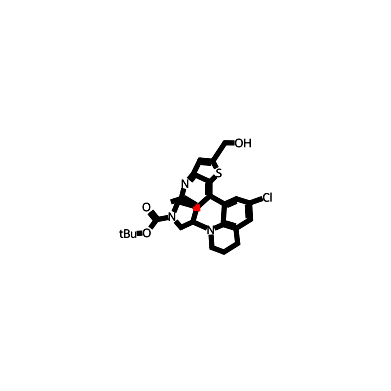 Cc1cc(-c2cc(Cl)cc3c2N(C2CCN(C(=O)OC(C)(C)C)C2)CCC3)c2sc(CO)cc2n1